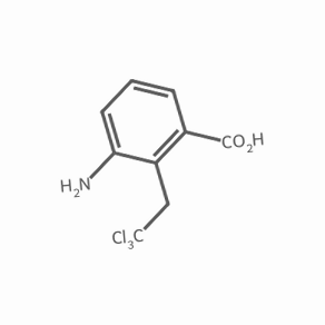 Nc1cccc(C(=O)O)c1CC(Cl)(Cl)Cl